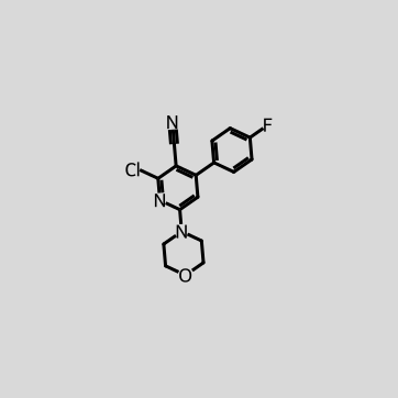 N#Cc1c(-c2ccc(F)cc2)cc(N2CCOCC2)nc1Cl